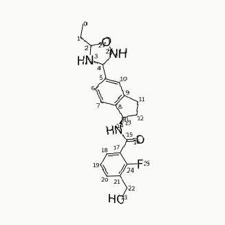 CCC1NC(c2ccc3c(c2)CC[C@H]3NC(=O)c2cccc(CO)c2F)NO1